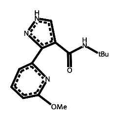 COc1cccc(-c2n[nH]cc2C(=O)NC(C)(C)C)n1